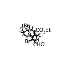 CCOC(=O)[C@@H](COC(C)(C)C)c1c(Cl)nc(C=O)c(Br)c1N1CCC(C)(C)CC1